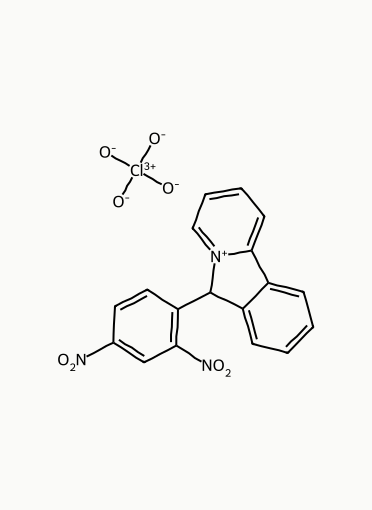 O=[N+]([O-])c1ccc(C2c3ccccc3-c3cccc[n+]32)c([N+](=O)[O-])c1.[O-][Cl+3]([O-])([O-])[O-]